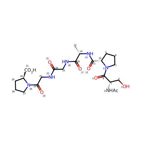 CC(=O)N[C@@H](CO)C(=O)N1CCC[C@H]1C(=O)N[C@@H](C)C(=O)NCC(=O)NCC(=O)N1CCC[C@H]1C(=O)O